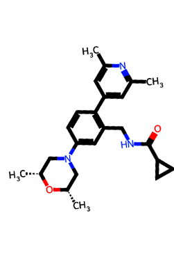 Cc1cc(-c2ccc(N3C[C@@H](C)O[C@@H](C)C3)cc2CNC(=O)C2CC2)cc(C)n1